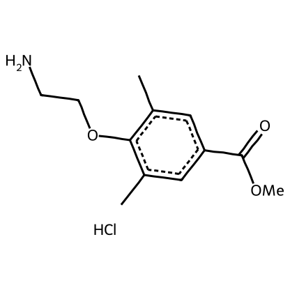 COC(=O)c1cc(C)c(OCCN)c(C)c1.Cl